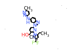 CCc1cc(C(F)F)nn1-c1nc(-n2cnc3ccc(Nc4ccc(C)nn4)cc32)ccc1C(C)O